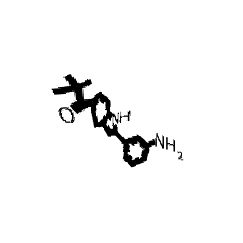 CC(C)(C)C(=O)c1ccc2[nH]c(-c3cccc(N)c3)cc2c1